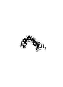 CP(=O)(OCS)N1CCC(NC(=O)c2cccc(-c3cccc(OC(F)(F)F)c3)c2)CC1